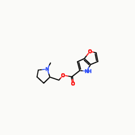 CN1CCCC1COC(=O)c1cc2occc2[nH]1